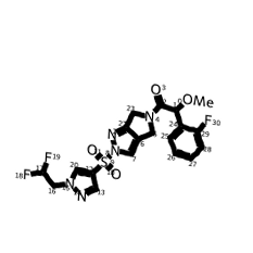 COC(C(=O)N1Cc2cn(S(=O)(=O)c3cnn(CC(F)F)c3)nc2C1)c1ccccc1F